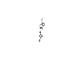 CCCCCc1cccc2c1CCc1sc(NC(=O)c3cc(F)c(C=C(C)C(=O)O)c(F)c3)nc1-2